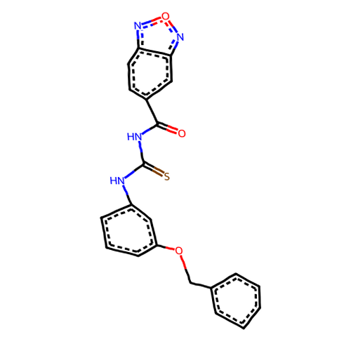 O=C(NC(=S)Nc1cccc(OCc2ccccc2)c1)c1ccc2nonc2c1